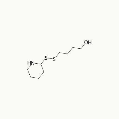 OCCCCSSC1CCCCN1